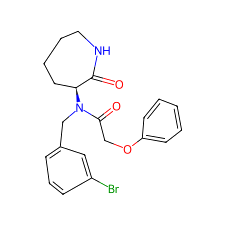 O=C1NCCCC[C@@H]1N(Cc1cccc(Br)c1)C(=O)COc1ccccc1